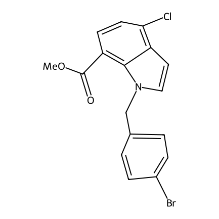 COC(=O)c1ccc(Cl)c2ccn(Cc3ccc(Br)cc3)c12